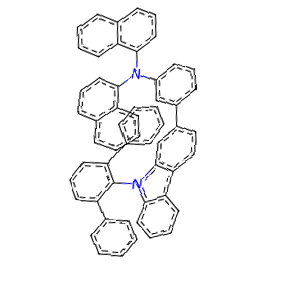 c1ccc(-c2cccc(-c3ccccc3)c2-n2c3ccccc3c3ccc(-c4cccc(N(c5cccc6ccccc56)c5cccc6ccccc56)c4)cc32)cc1